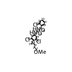 COCCCN(C)c1c(Cl)cc(NC(=O)NC(=O)c2ccccc2Cl)cc1Cl